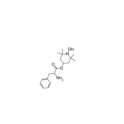 CC1(C)CC(OC(=O)C(N)Cc2ccccc2)CC(C)(C)N1O